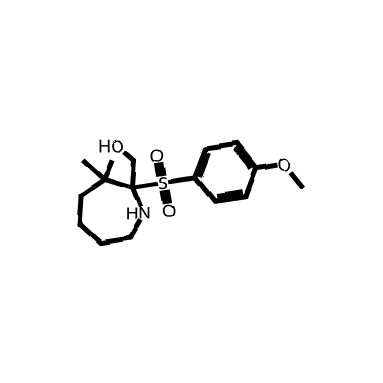 COc1ccc(S(=O)(=O)C2(CO)NCCCCC2(C)C)cc1